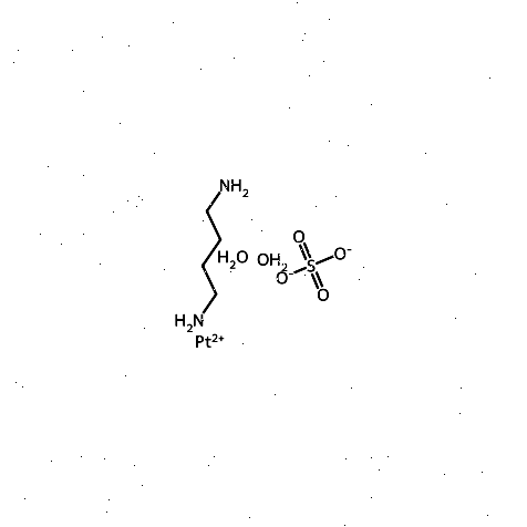 NCCCCN.O.O.O=S(=O)([O-])[O-].[Pt+2]